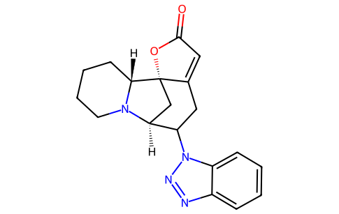 O=C1C=C2CC(n3nnc4ccccc43)[C@@H]3C[C@@]2(O1)[C@H]1CCCCN31